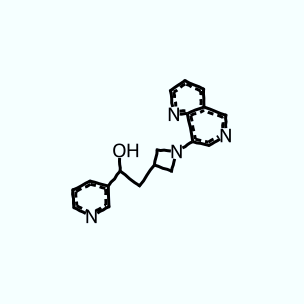 OC(CC1CN(c2cncc3cccnc23)C1)c1cccnc1